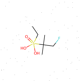 CCS(=O)(O)(O)C(C)(C)CF